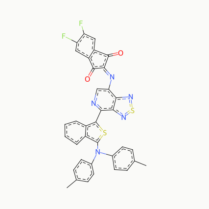 Cc1ccc(N(c2ccc(C)cc2)c2sc(-c3ncc(N=c4c(=O)c5cc(F)c(F)cc5c4=O)c4nsnc34)c3ccccc23)cc1